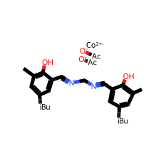 CC(=O)[O-].CC(=O)[O-].CCC(C)c1cc(C)c(O)c(C=NCN=Cc2cc(C(C)CC)cc(C)c2O)c1.[Co+2]